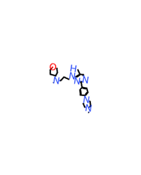 Cc1cnc(-c2ccc(N3CCN(C)CC3)cc2)nc1NCCCN(C)C1CCOCC1